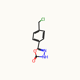 O=c1[nH]nc(-c2ccc(CCl)cc2)o1